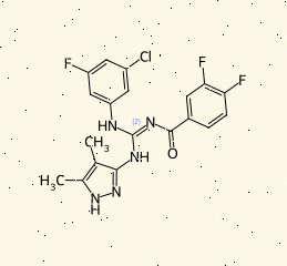 Cc1[nH]nc(N/C(=N\C(=O)c2ccc(F)c(F)c2)Nc2cc(F)cc(Cl)c2)c1C